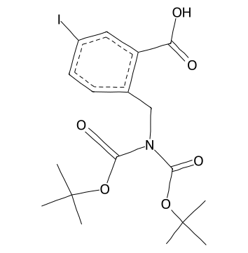 CC(C)(C)OC(=O)N(Cc1ccc(I)cc1C(=O)O)C(=O)OC(C)(C)C